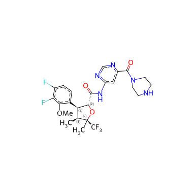 COc1c([C@H]2[C@H](C(=O)Nc3cc(C(=O)N4CCNCC4)ncn3)O[C@@](C)(C(F)(F)F)[C@H]2C)ccc(F)c1F